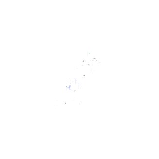 CC(C)c1cn(-c2ccc(C(F)(F)F)cc2)cn1